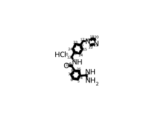 Cl.N=C(N)c1cccc(C(=O)NCc2ccc(Cn3ccnc3)cc2)c1